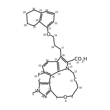 Cc1c2c(nn1C)COCCCCn1c(C(=O)O)c(CCCOc3cccc4c3CCCC4)c3ccc(F)c-2c31